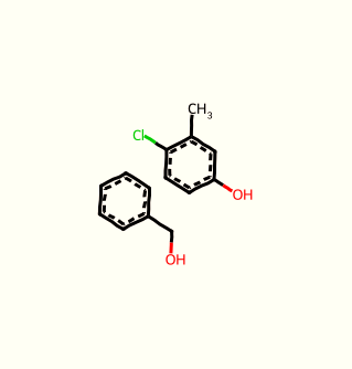 Cc1cc(O)ccc1Cl.OCc1ccccc1